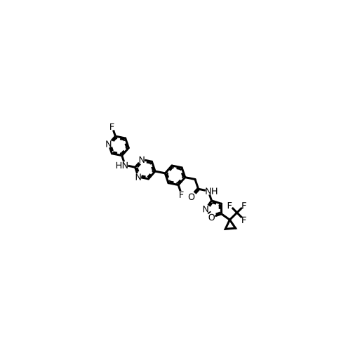 O=C(Cc1ccc(-c2cnc(Nc3ccc(F)nc3)nc2)cc1F)Nc1cc(C2(C(F)(F)F)CC2)on1